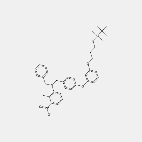 Cc1c(N(Cc2ccccc2)Cc2ccc(Oc3cccc(OCCCO[Si](C)(C)C(C)(C)C)c3)cc2)cccc1[N+](=O)[O-]